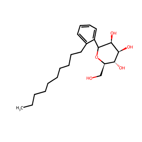 CCCCCCCCCCc1ccccc1[C]1O[C@H](CO)[C@@H](O)[C@H](O)[C@@H]1O